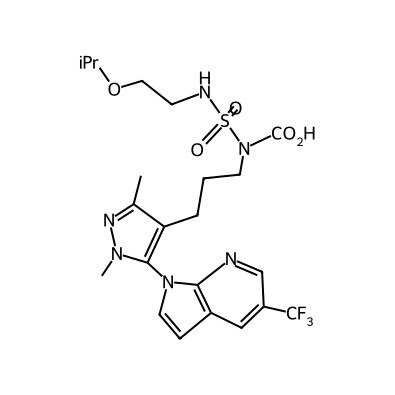 Cc1nn(C)c(-n2ccc3cc(C(F)(F)F)cnc32)c1CCCN(C(=O)O)S(=O)(=O)NCCOC(C)C